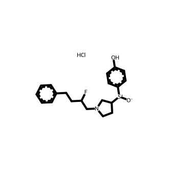 Cl.[O-][S+](c1ccc(O)cc1)C1CCN(CC(F)CCc2ccccc2)C1